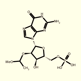 COC(C)O[C@@H]1[C@H](O)[C@@H](COP(=O)(O)O)O[C@H]1n1cnc2c(=O)[nH]c(N)nc21